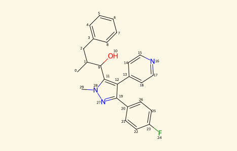 CC(Cc1ccccc1)C(O)c1c(-c2ccncc2)c(-c2ccc(F)cc2)nn1C